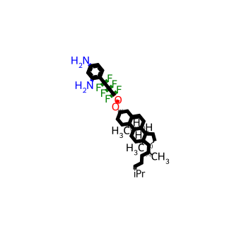 CC(C)CCC[C@@H](C)[C@H]1CC[C@H]2[C@@H]3CC=C4C[C@@H](OOC(F)(F)C(F)(F)C(F)(F)c5ccc(N)cc5N)CC[C@]4(C)[C@H]3CC[C@]12C